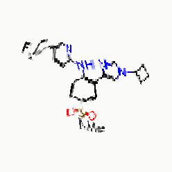 CNS(=O)(=O)c1ccc(Nc2ccc(C(F)(F)F)cn2)c(-c2cn(C3CCC3)cn2)c1